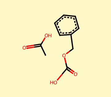 CC(=O)O.O=C(O)OCc1ccccc1